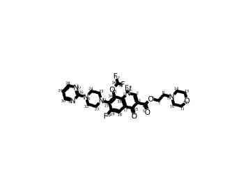 CCn1cc(C(=O)OCCN2CCOCC2)c(=O)c2cc(F)c(N3CCN(c4ncccn4)CC3)c(OC(F)F)c21